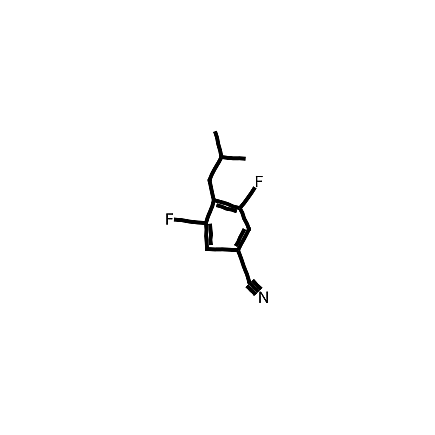 CC(C)Cc1c(F)cc(C#N)cc1F